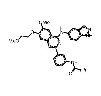 CCCC(=O)Nc1cccc(-c2nc(Nc3ccc4[nH]ncc4c3)c3cc(OC)c(OCCOC)cc3n2)c1